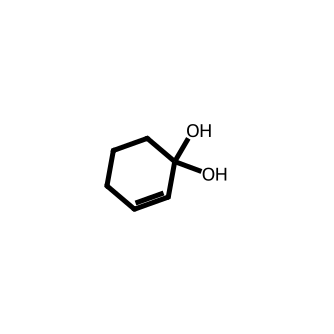 OC1(O)C=CCCC1